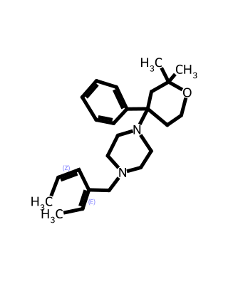 C/C=C\C(=C/C)CN1CCN(C2(c3ccccc3)CCOC(C)(C)C2)CC1